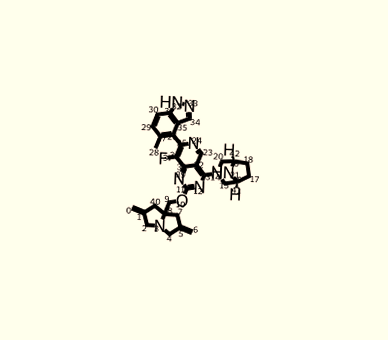 C=C1CN2CC(=C)CC2(COc2nc(N3C[C@H]4CC[C@@H](C3)N4)c3cnc(-c4c(C)ccc5[nH]ncc45)c(F)c3n2)C1